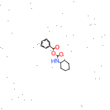 O=C(NC1CCCCC1)OC(=O)c1ccccc1